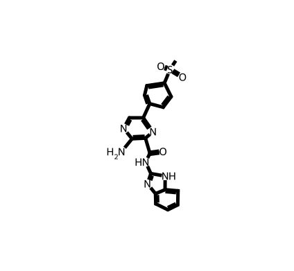 CS(=O)(=O)c1ccc(-c2cnc(N)c(C(=O)Nc3nc4ccccc4[nH]3)n2)cc1